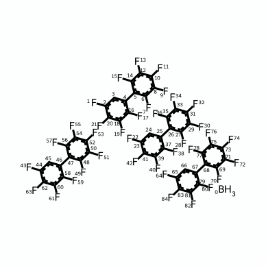 B.Fc1cc(-c2c(F)c(F)c(F)c(F)c2F)c(F)c(F)c1F.Fc1cc(-c2c(F)c(F)c(F)c(F)c2F)c(F)c(F)c1F.Fc1cc(-c2c(F)c(F)c(F)c(F)c2F)c(F)c(F)c1F.Fc1cc(-c2c(F)c(F)c(F)c(F)c2F)c(F)c(F)c1F